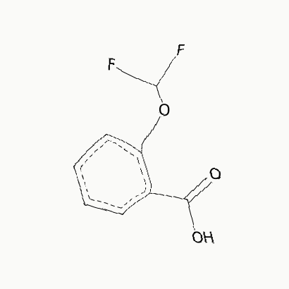 O=C(O)c1ccccc1OC(F)F